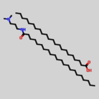 CCCCCCCCCCCCCCCCCCCCCC(=O)NCCCN(C)C.CCCCCCCCCCCCCCCCCCCCCC(=O)O